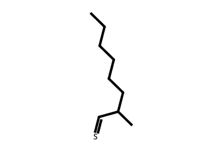 CCCCCCC(C)C=S